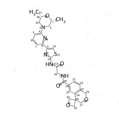 C[C@@H]1CN(c2cccc(-c3csc(NC(=O)CNC(=O)c4ccc5c(c4)C4(COC5)COC4)n3)n2)C[C@H](C)O1